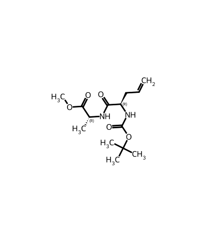 C=CC[C@@H](NC(=O)OC(C)(C)C)C(=O)N[C@H](C)C(=O)OC